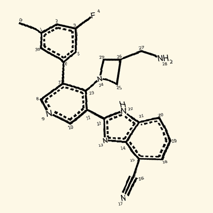 Cc1cc(F)cc(-c2cncc(-c3nc4c(C#N)cccc4[nH]3)c2N2CC(CN)C2)c1